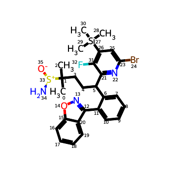 CC(C)(CCC(c1ccccc1-c1noc2ccccc12)c1nc(Br)cc([Si](C)(C)C)c1F)[S@@+](N)[O-]